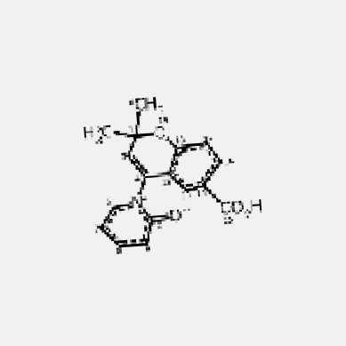 CC1(C)C=C(n2ccccc2=O)c2cc(C(=O)O)ccc2O1